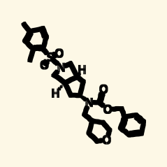 Cc1ccc(S(=O)(=O)N2C[C@H]3C[C@@H](N(CC4CCOCC4)C(=O)OCc4ccccc4)C[C@H]3C2)c(C)c1